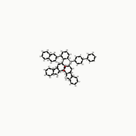 c1ccc(-c2ccc(N(c3ccc4oc5ccccc5c4c3)c3cccc(-c4ccc5ccccc5c4)c3-c3ccc4sc5ccccc5c4c3)cc2)cc1